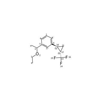 CCOC(C)c1cccc([C@H]2C[C@@H]2C(F)(F)F)c1